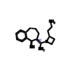 N=C1/C(=C(\N)N2CCC2CCN)CCCc2ccccc21